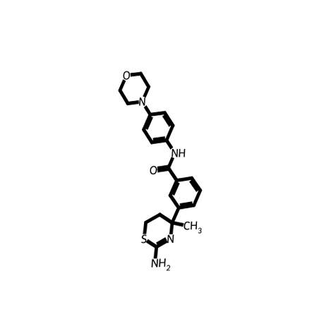 CC1(c2cccc(C(=O)Nc3ccc(N4CCOCC4)cc3)c2)CCSC(N)=N1